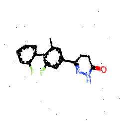 Cc1cc(C2=NNC(=O)CC2)cc(F)c1-c1ccccc1F